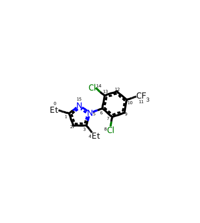 CCc1[c]c(CC)n(-c2c(Cl)cc(C(F)(F)F)cc2Cl)n1